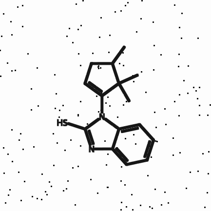 CC1CC=C(n2c(S)nc3ccccc32)C1(C)C